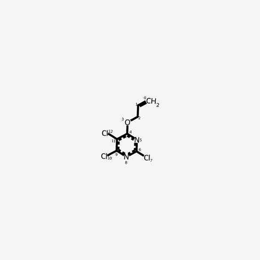 C=CCOc1nc(Cl)nc(Cl)c1Cl